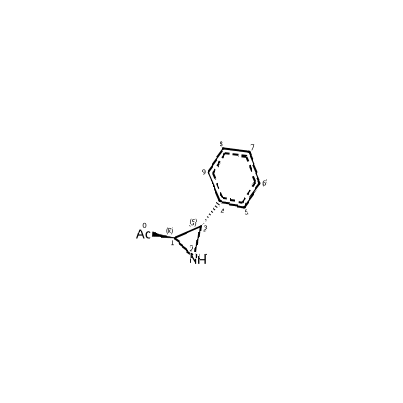 CC(=O)[C@@H]1N[C@H]1c1ccccc1